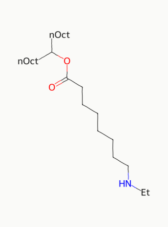 CCCCCCCCC(CCCCCCCC)OC(=O)CCCCCCCNCC